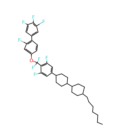 CCCCCCCC1CCC(C2CCC(c3cc(F)c(C(F)(F)Oc4ccc(-c5cc(F)c(F)c(F)c5)c(F)c4)c(F)c3)CC2)CC1